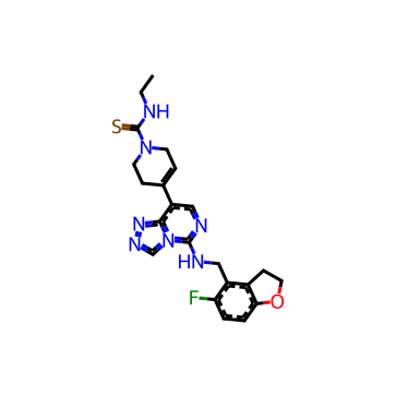 CCNC(=S)N1CC=C(c2cnc(NCc3c(F)ccc4c3CCO4)n3cnnc23)CC1